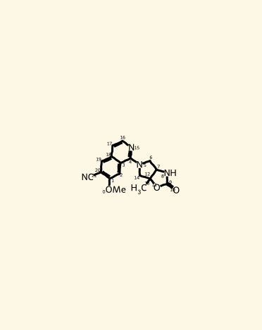 COc1cc2c(N3CC4NC(=O)OC4(C)C3)nccc2cc1C#N